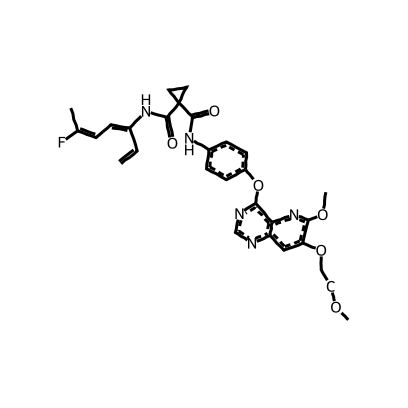 C=C/C(=C\C=C(/C)F)NC(=O)C1(C(=O)Nc2ccc(Oc3ncnc4cc(OCCOC)c(OC)nc34)cc2)CC1